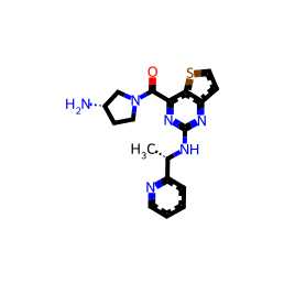 C[C@H](Nc1nc(C(=O)N2CC[C@H](N)C2)c2sccc2n1)c1ccccn1